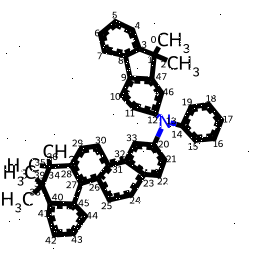 CC1(C)c2ccccc2-c2ccc(N(c3ccccc3)c3ccc4ccc5c6c(ccc5c4c3)C(C)(C)C(C)(C)c3ccccc3-6)cc21